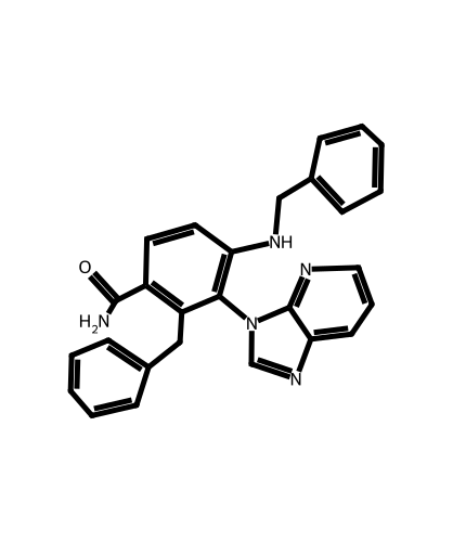 NC(=O)c1ccc(NCc2ccccc2)c(-n2cnc3cccnc32)c1Cc1ccccc1